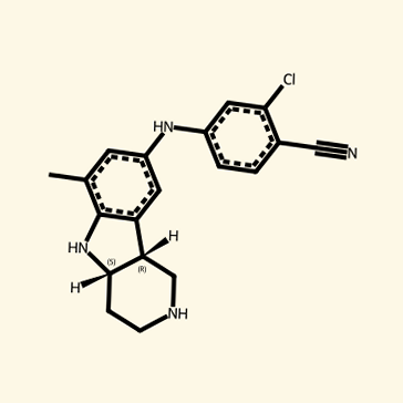 Cc1cc(Nc2ccc(C#N)c(Cl)c2)cc2c1N[C@H]1CCNC[C@@H]21